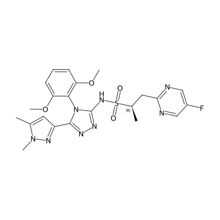 COc1cccc(OC)c1-n1c(NS(=O)(=O)[C@H](C)Cc2ncc(F)cn2)nnc1-c1cc(C)n(C)n1